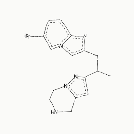 CC(C)c1ccc2nc(CC(C)c3cc4n(n3)CCNC4)cn2c1